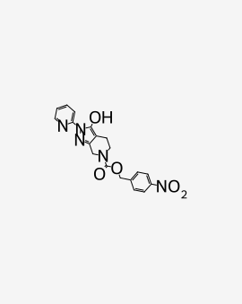 O=C(OCc1ccc([N+](=O)[O-])cc1)N1CCc2c(nn(-c3ccccn3)c2O)C1